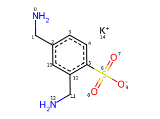 NCc1ccc(S(=O)(=O)[O-])c(CN)c1.[K+]